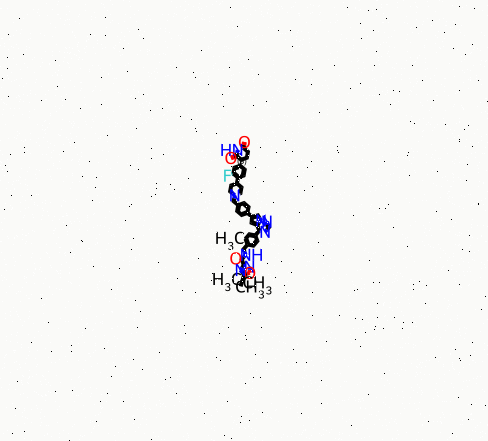 Cc1cc(-c2ncnn3cc(-c4ccc(CN5CCC(c6ccc([C@@H]7CCC(=O)NC7=O)cc6F)CC5)cc4)cc23)ccc1CNC(=O)c1noc(C(C)(C)C)n1